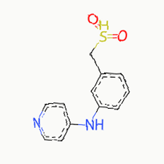 O=[SH](=O)Cc1cccc(Nc2ccncc2)c1